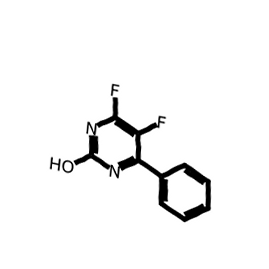 Oc1nc(F)c(F)c(-c2ccccc2)n1